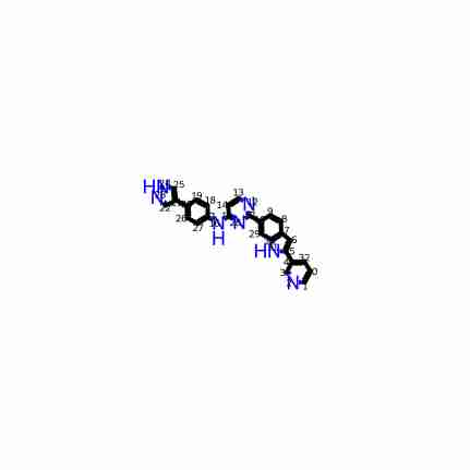 c1cncc(-c2cc3ccc(-c4nccc(Nc5ccc(-c6cn[nH]c6)cc5)n4)cc3[nH]2)c1